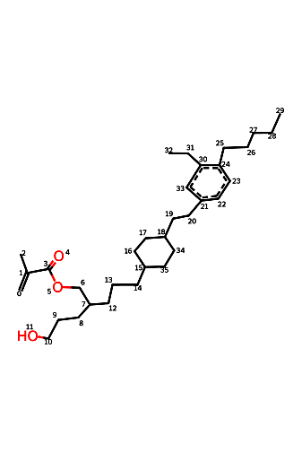 C=C(C)C(=O)OCC(CCCO)CCCC1CCC(CCc2ccc(CCCCC)c(CC)c2)CC1